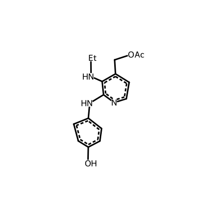 CCNc1c(COC(C)=O)ccnc1Nc1ccc(O)cc1